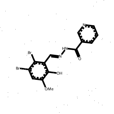 COc1cc(Br)c(Br)c(C=NNC(=O)c2cccnc2)c1O